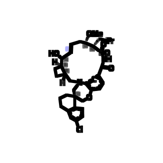 CO[C@H]1C/C=C/[C@H](O)[C@@H]2CC[C@H]2CN2C[C@@]3(CCCc4cc(Cl)ccc43)COc3ccc(cc32)C(=O)NS(=O)(=O)[C@H]1CC(C)C